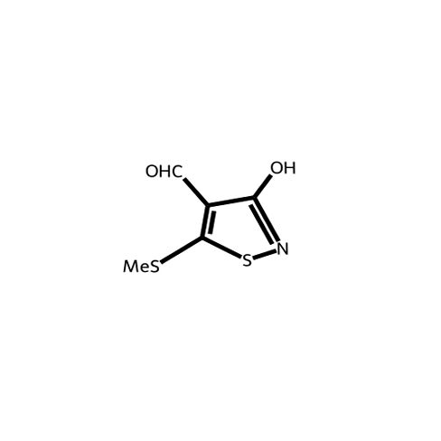 CSc1snc(O)c1C=O